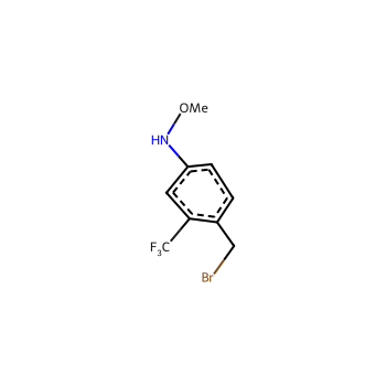 CONc1ccc(CBr)c(C(F)(F)F)c1